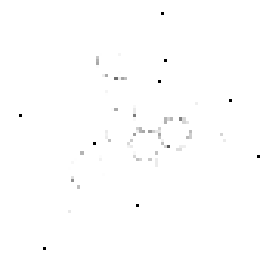 COc1c(F)cc2c(N3CCC4(CC3)OCCO4)c(C(=O)N3CCN([S+](C)[O-])CC3)cnc2c1F